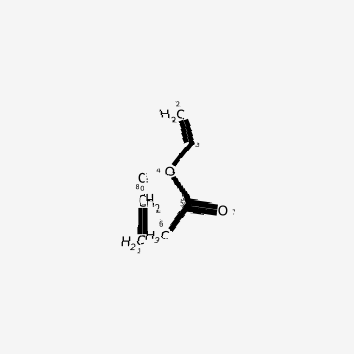 C=C.C=COC(C)=O.[C]